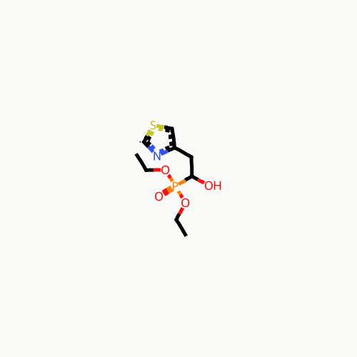 CCOP(=O)(OCC)C(O)Cc1cs[c]n1